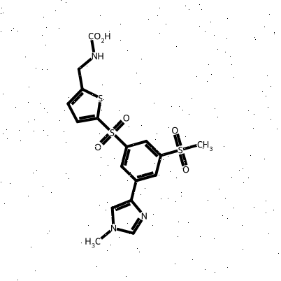 Cn1cnc(-c2cc(S(C)(=O)=O)cc(S(=O)(=O)c3ccc(CNC(=O)O)s3)c2)c1